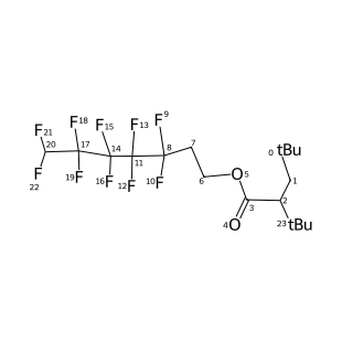 CC(C)(C)CC(C(=O)OCCC(F)(F)C(F)(F)C(F)(F)C(F)(F)C(F)F)C(C)(C)C